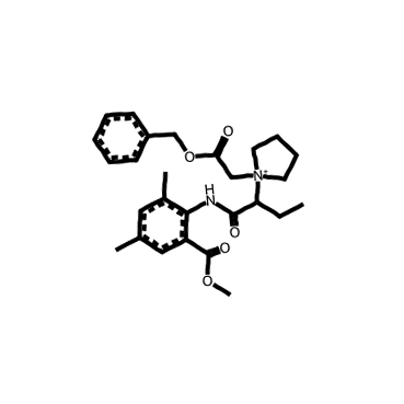 CCC(C(=O)Nc1c(C)cc(C)cc1C(=O)OC)[N+]1(CC(=O)OCc2ccccc2)CCCC1